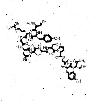 CC(=O)N[C@@H](CC(C)C)C(=O)N[C@@H](Cc1ccc(O)cc1)C(=O)N[C@@H](CCCNC(=N)N)C(=O)N[C@@H](C)C(=O)N[C@@H](CC(N)=O)C(=O)N[C@H](C(=O)N[C@@H](C)C(=O)N[C@@H](CO)C(=O)N1CCC[C@H]1C(=O)NCC(O)N[C@@H](Cc1ccc(O)cc1)C(=O)N[C@@H](CO)C(N)=O)C(C)C